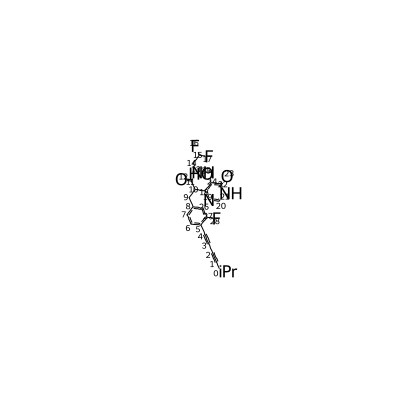 CC(C)C#CC#Cc1ccc(CC(C(=O)NCC(F)F)c2nc[nH]c(=O)c2O)cc1F